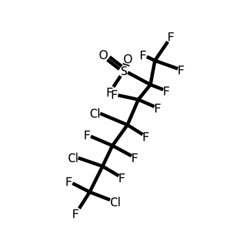 O=S(=O)(F)C(F)(C(F)(F)F)C(F)(F)C(F)(Cl)C(F)(F)C(F)(Cl)C(F)(F)Cl